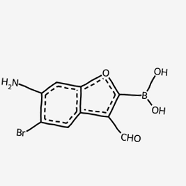 Nc1cc2oc(B(O)O)c(C=O)c2cc1Br